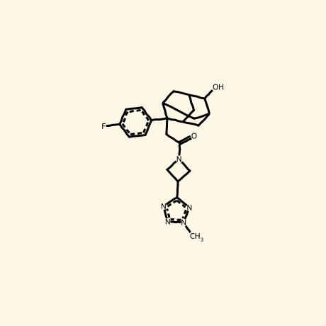 Cn1nnc(C2CN(C(=O)CC3(c4ccc(F)cc4)C4CC5CC3CC(C4)C5O)C2)n1